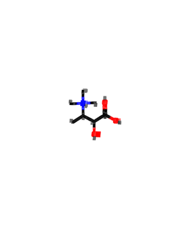 CC(C(O)C(=O)[O-])[N+](C)(C)C